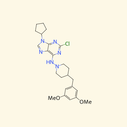 COc1cc(CC2CCN(Nc3nc(Cl)nc4c3ncn4C3CCCC3)CC2)cc(OC)c1